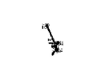 CCCCCC[C@@H](CCC[C@H](O)CCCCCCCCCCCCC[C@H](O)C(=O)O)O[C@H]1OC[C@H](O)[C@@H](O)[C@@H]1O[C@H]1OC[C@H](OC(C)=O)[C@@H](O)[C@@H]1O[C@H]1O[C@@H](COC(=O)CC(C)C)[C@H](O)[C@@H](O)[C@@H]1O